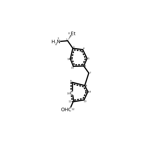 CC[C@@H](N)c1ccc(Cc2ccc(C=O)cc2)cc1